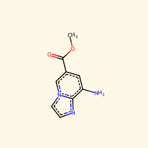 COC(=O)c1cc(N)c2nccn2c1